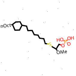 CCCCCCCCC1CCC(CCCCCCCCSCC(COP(=O)(O)O)OC)CC1